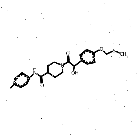 CSCOc1ccc(C(O)C(=O)N2CCC(C(=O)Nc3ccc(I)cc3)CC2)cc1